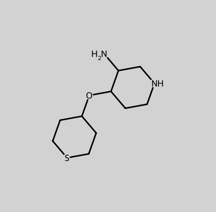 NC1CNCCC1OC1CCSCC1